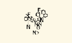 C=C(F)C(=O)N1CCN(c2nc(OC[C@@H]3CCCN3C)nc3nc(-c4cccc5ccc(F)c(Cl)c45)ccc23)C[C@@H]1CC#N